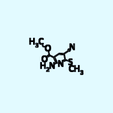 CCOC(=O)c1cc(C#N)c(SC)nc1N